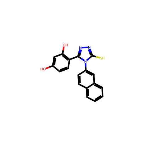 Oc1ccc(-c2nnc(S)n2-c2ccc3ccccc3c2)c(O)c1